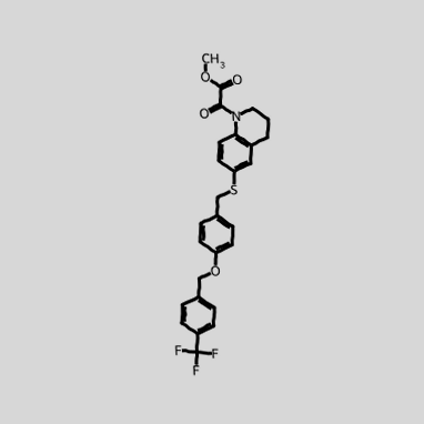 COC(=O)C(=O)N1CCCc2cc(SCc3ccc(OCc4ccc(C(F)(F)F)cc4)cc3)ccc21